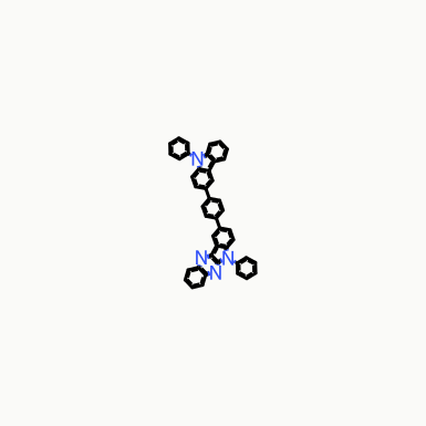 c1ccc(-n2c3ccccc3c3cc(-c4ccc(-c5ccc6c(c5)c5nc7ccccc7nc5n6-c5ccccc5)cc4)ccc32)cc1